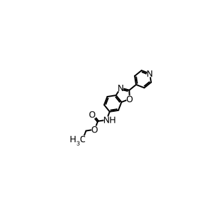 CCOC(=O)Nc1ccc2nc(-c3ccncc3)oc2c1